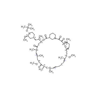 CO[C@H]1C[C@@H]2CC[C@@H](C)[C@@](O)(O2)C(=O)C(=O)N2CCCC(C2)C(=O)O[C@H]([C@H](C)C[C@@H]2CC[C@@H](O[Si](C)(C)C)[C@H](OC)C2)CC(=O)[C@H](C)/C=C(\C)C[C@@H](OC)C(=O)[C@H](C)C[C@H](C)/C=C/CC/C=C/1C